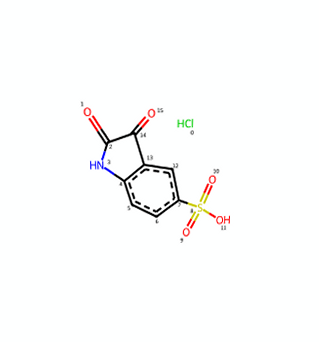 Cl.O=C1Nc2ccc(S(=O)(=O)O)cc2C1=O